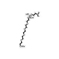 COCCOCCOCCOCCOCCO[PH](O)(O)OCCN(C)C